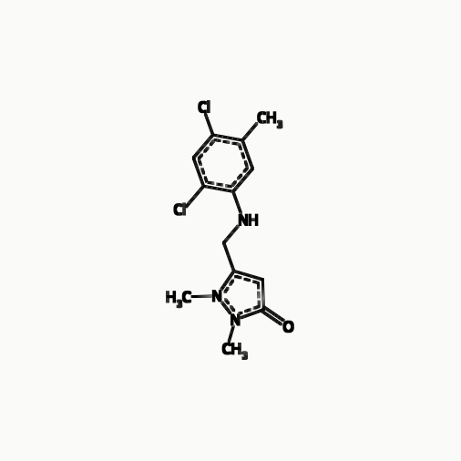 Cc1cc(NCc2cc(=O)n(C)n2C)c(Cl)cc1Cl